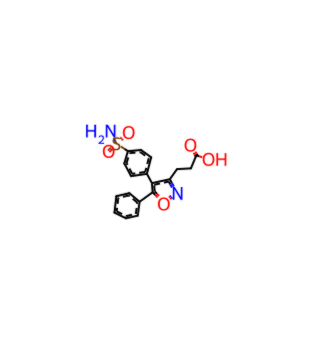 NS(=O)(=O)c1ccc(-c2c(CCC(=O)O)noc2-c2ccccc2)cc1